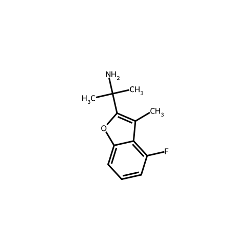 Cc1c(C(C)(C)N)oc2cccc(F)c12